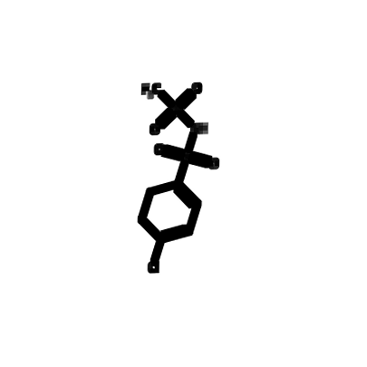 O=S(=O)(NS(=O)(=O)C(F)(F)F)C1=CC=C(Cl)CC1